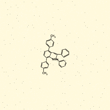 CNc1c(-c2ccc(C)cc2)ccc(-c2ccc(C)cc2)c1/C=C(\Cc1ccccc1)c1ccccc1